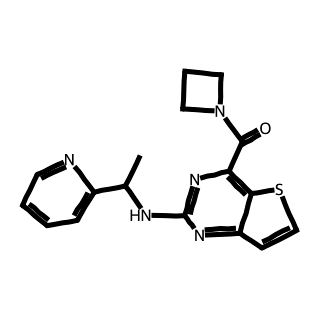 CC(Nc1nc(C(=O)N2CCC2)c2sccc2n1)c1ccccn1